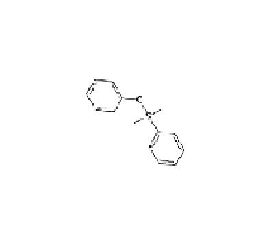 C[Si](C)(Oc1ccccc1)c1ccccc1